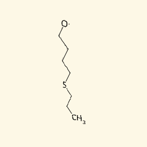 CCCSCCCC[O]